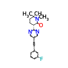 CN1C(=O)[C@H](c2ncc(C#Cc3cccc(F)c3)cn2)CCC1(C)C